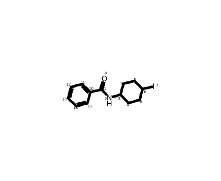 O=C(NC1CCC(I)CC1)c1ccccc1